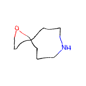 C1CC2(CCN1)CO2